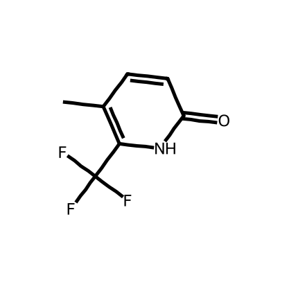 Cc1ccc(=O)[nH]c1C(F)(F)F